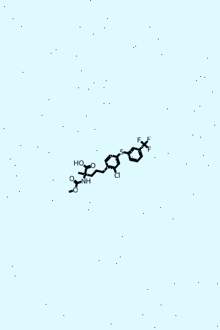 COC(=O)NC(C)(CCCc1ccc(Sc2cccc(C(F)(F)F)c2)cc1Cl)C(=O)O